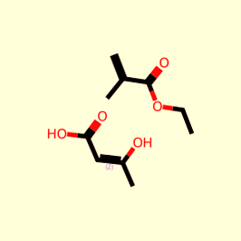 C/C(O)=C/C(=O)O.C=C(C)C(=O)OCC